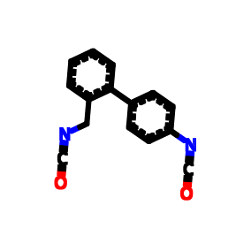 O=C=NCc1ccccc1-c1ccc(N=C=O)cc1